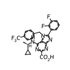 C[C@@H](Nc1nc(C(=O)O)nc2nc(-c3cccc(F)c3F)n(Cc3ccc(C(F)(F)F)cc3)c12)C1CC1